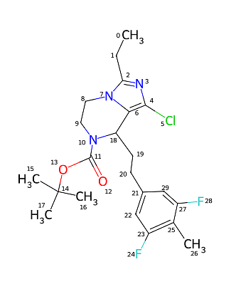 CCc1nc(Cl)c2n1CCN(C(=O)OC(C)(C)C)C2CCc1cc(F)c(C)c(F)c1